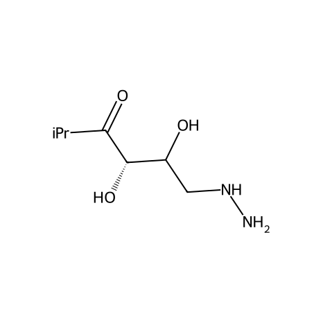 CC(C)C(=O)[C@@H](O)C(O)CNN